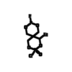 CCC1OP(=O)(Cl)OCC12COP(F)OC2